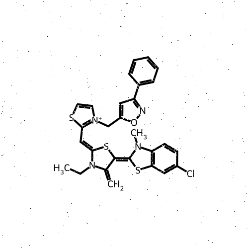 C=C1/C(=C2\Sc3cc(Cl)ccc3N2C)S/C(=C\c2scc[n+]2Cc2cc(-c3ccccc3)no2)N1CC